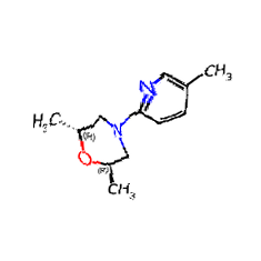 Cc1ccc(N2C[C@@H](C)O[C@H](C)C2)nc1